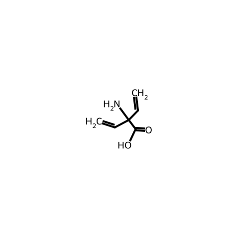 C=CC(N)(C=C)C(=O)O